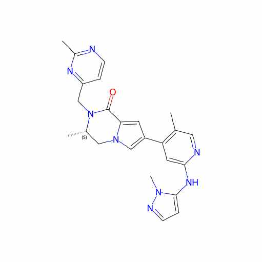 Cc1nccc(CN2C(=O)c3cc(-c4cc(Nc5ccnn5C)ncc4C)cn3C[C@@H]2C)n1